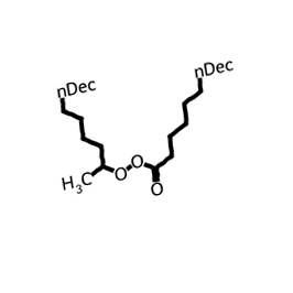 CCCCCCCCCCCCCCCC(=O)OOC(C)CCCCCCCCCCCCCC